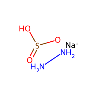 NN.O=S([O-])O.[Na+]